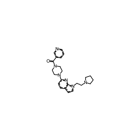 O=C(c1cccnc1)N1CCN(c2ccc3ccn(CCN4CCCC4)c3n2)CC1